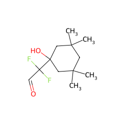 CC1(C)CC(C)(C)CC(O)(C(F)(F)C=O)C1